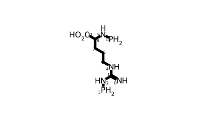 N=C(NP)NCCCC(NP)C(=O)O